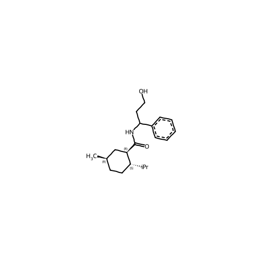 CC(C)[C@@H]1CC[C@@H](C)C[C@H]1C(=O)NC(CCO)c1ccccc1